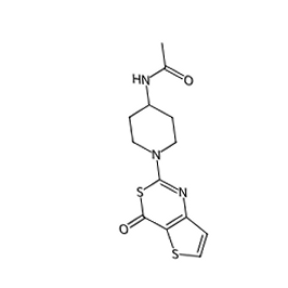 CC(=O)NC1CCN(c2nc3ccsc3c(=O)s2)CC1